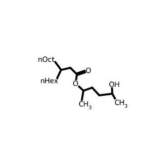 CCCCCCCCC(CCCCCC)CC(=O)OC(C)CCC(C)O